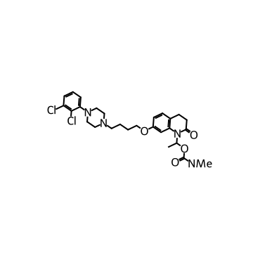 CNC(=O)OC(C)N1C(=O)CCc2ccc(OCCCCN3CCN(c4cccc(Cl)c4Cl)CC3)cc21